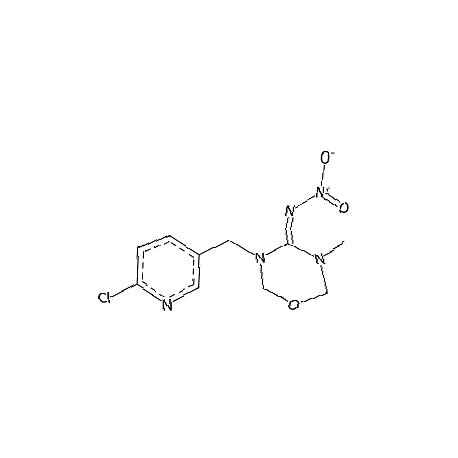 CN1COCN(Cc2ccc(Cl)nc2)/C1=N/[N+](=O)[O-]